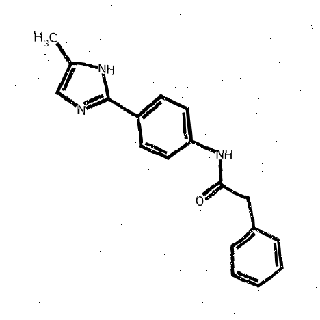 Cc1cnc(-c2ccc(NC(=O)Cc3ccccc3)cc2)[nH]1